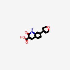 O=C(O)c1cc2ccc(C3=CCOCC3)cc2[nH]c1=O